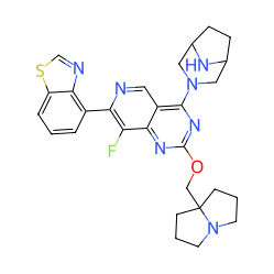 Fc1c(-c2cccc3scnc23)ncc2c(N3CC4CCC(C3)N4)nc(OCC34CCCN3CCC4)nc12